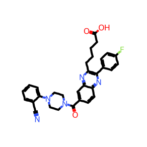 N#Cc1ccccc1N1CCN(C(=O)c2ccc3nc(-c4ccc(F)cc4)c(CCCCC(=O)O)nc3c2)CC1